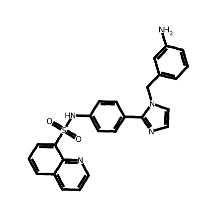 Nc1cccc(Cn2ccnc2-c2ccc(NS(=O)(=O)c3cccc4cccnc34)cc2)c1